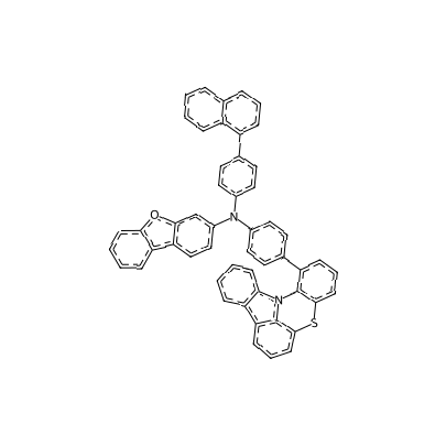 c1cc2c(c(-c3ccc(N(c4ccc(-c5cccc6ccccc56)cc4)c4ccc5c(c4)oc4ccccc45)cc3)c1)-n1c3ccccc3c3cccc(c31)S2